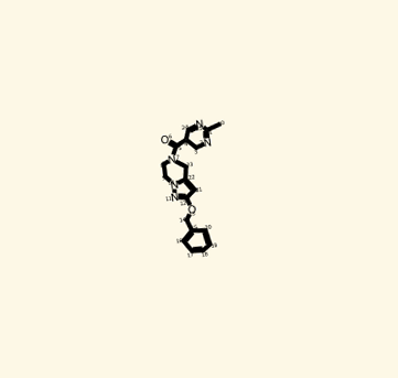 CC1=NCC(C(=O)N2CCn3nc(OCc4ccccc4)cc3C2)C=N1